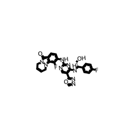 O=c1c2ccc(Nc3ncc(-c4nnco4)c(N[C@H](CO)c4ccc(F)cc4)n3)c(F)c2n2n1CC=CC2